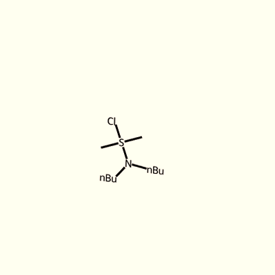 CCCCN(CCCC)S(C)(C)Cl